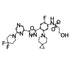 O=S(=O)(CCO)Nc1cc(N2CCC3(CC2)CC3)c(-c2nnc(-c3cncc(N4CCC(F)(F)CC4)n3)o2)cc1F